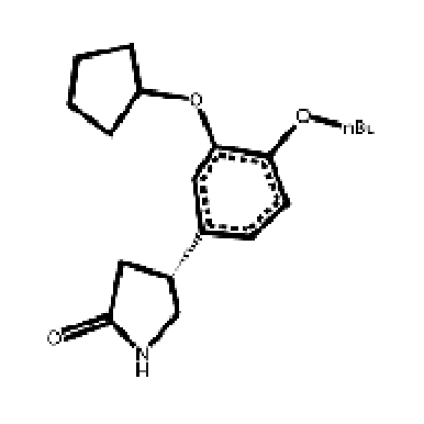 CCCCOc1ccc([C@@H]2CNC(=O)C2)cc1OC1CCCC1